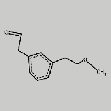 COCCc1cccc(CC=O)c1